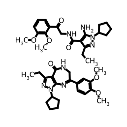 CCc1nn(C2CCCC2)c(N)c1C(=O)NCC(=O)c1cccc(OC)c1OC.CCc1nn(C2CCCC2)c2c1C(=O)NCC(c1ccc(OC)c(OC)c1)=N2